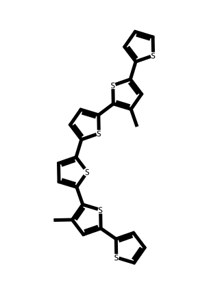 Cc1cc(-c2cccs2)sc1-c1ccc(-c2ccc(-c3sc(-c4cccs4)cc3C)s2)s1